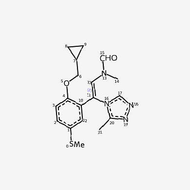 CSc1ccc(OCC2CC2)c(/C(=C/N(C)C=O)n2cnnc2C)c1